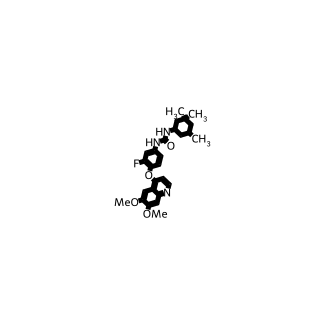 COc1cc2nccc(Oc3ccc(NC(=O)NC4CC(C)CC(C)(C)C4)cc3F)c2cc1OC